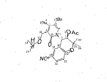 CC(=O)O[C@@H]1[C@@H](n2cc(C(C)(C)C)c(C(C)(C)C)c(CO[SiH](C)C)c2=O)c2cc(C#N)ccc2OC1(C)C